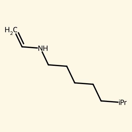 C=CNCCCCCC(C)C